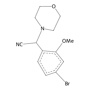 COc1cc(Br)ccc1C(C#N)N1CCOCC1